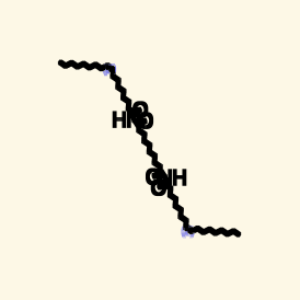 CCCCCCCC/C=C\CCCCCCCC(=O)NC(=O)CCCCCCCCC(=O)NC(=O)CCCCCCC/C=C\CCCCCCCC